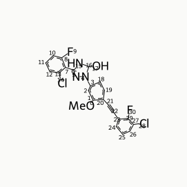 COc1cc(N2N=C(c3c(F)cccc3Cl)NC2O)ccc1C#Cc1cccc(Cl)c1F